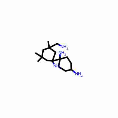 CC1(C)CC(C)(CN)CC(N)(C2(N)CCC(N)CC2)C1